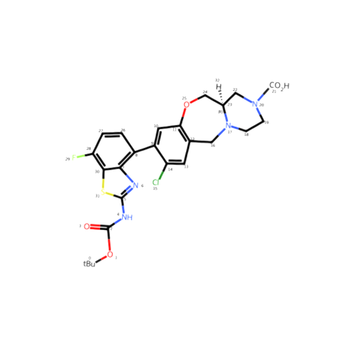 CC(C)(C)OC(=O)Nc1nc2c(-c3cc4c(cc3Cl)CN3CCN(C(=O)O)C[C@@H]3CO4)ccc(F)c2s1